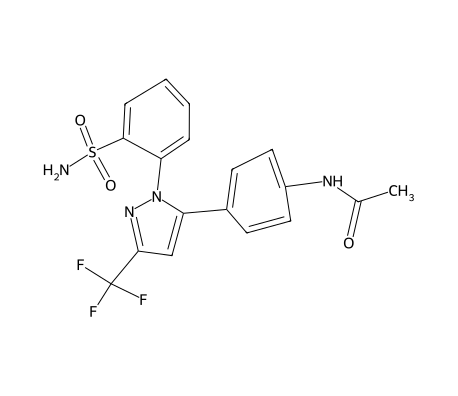 CC(=O)Nc1ccc(-c2cc(C(F)(F)F)nn2-c2ccccc2S(N)(=O)=O)cc1